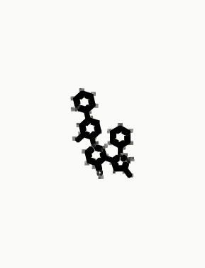 Cc1cc(-c2nn(-c3ccc(-c4ccccn4)cc3C)ccc2=O)n(-c2ccccc2)n1